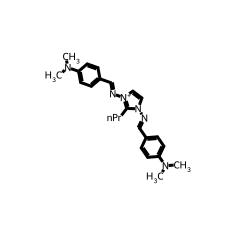 CCCc1n(N=Cc2ccc(N(C)C)cc2)cc[n+]1N=Cc1ccc(N(C)C)cc1